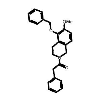 COc1ccc2c(c1OCc1ccccc1)CCN(C(=O)Cc1ccccc1)C2